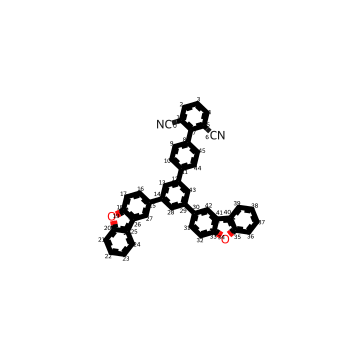 N#Cc1cccc(C#N)c1-c1ccc(-c2cc(-c3ccc4oc5ccccc5c4c3)cc(-c3ccc4oc5ccccc5c4c3)c2)cc1